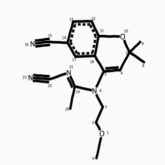 COCCN(C1=CC(C)(C)Oc2ccc(C#N)cc21)C(C)=NC#N